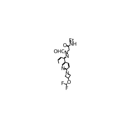 C/C=C\C(=N/N(C=O)CC(=O)NCC)c1ccc(N2CC(OC(F)F)C2)nc1